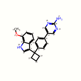 COc1cccc2c(C3(c4ccc(-c5cnc(N)nc5)cc4)CCC3)c[nH]c12